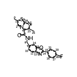 Cc1cn2c(C(=O)NCc3ccc4nc(-c5ccc(F)cc5)oc4c3)c(C)nc2s1